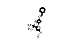 CC(C)(C)c1cc(N=C=S)nn1[C@H]1C[C@H](OCc2ccccc2)C1